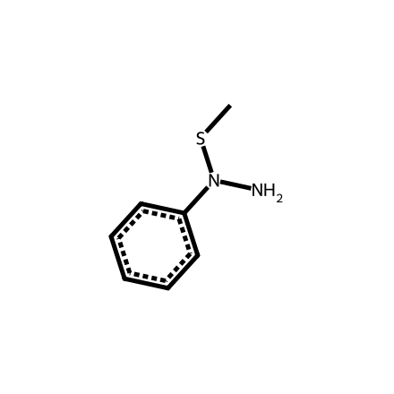 CSN(N)c1ccccc1